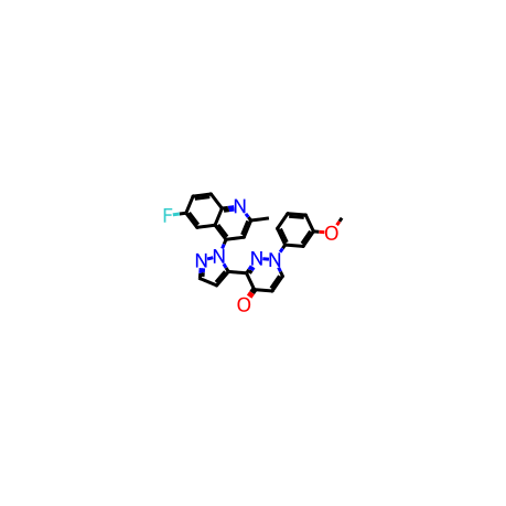 COc1cccc(-n2ccc(=O)c(-c3ccnn3-c3cc(C)nc4ccc(F)cc34)n2)c1